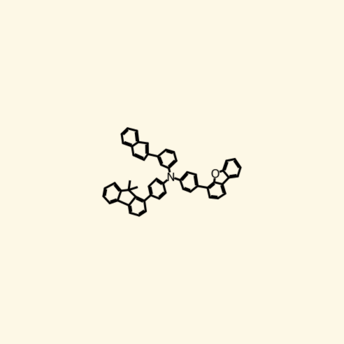 CC1(C)c2ccccc2-c2cccc(-c3ccc(N(c4ccc(-c5cccc6c5oc5ccccc56)cc4)c4cccc(-c5ccc6ccccc6c5)c4)cc3)c21